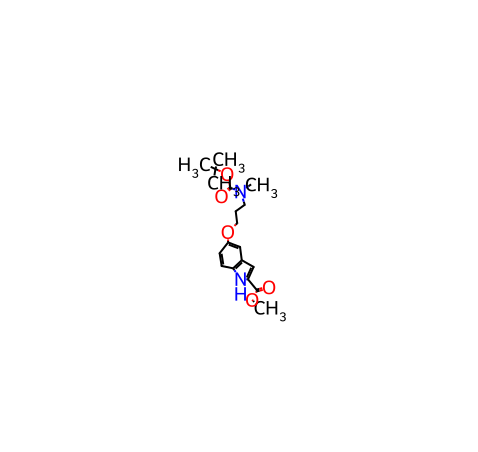 COC(=O)c1cc2cc(OCCCN(C)C(=O)OC(C)(C)C)ccc2[nH]1